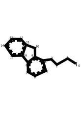 ICCCc1cccc2c1Cc1ccccc1-2